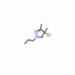 CCCN1[CH]C(C)(Br)C(C)=N1